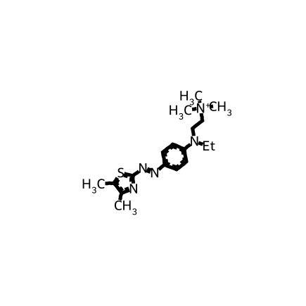 CCN(CC[N+](C)(C)C)c1ccc(N=Nc2nc(C)c(C)s2)cc1